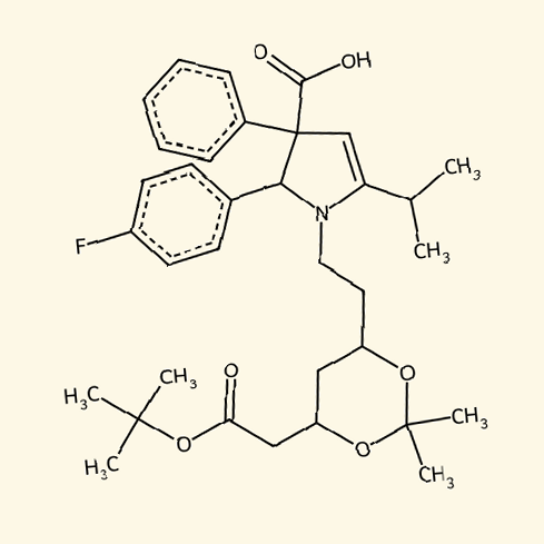 CC(C)C1=CC(C(=O)O)(c2ccccc2)C(c2ccc(F)cc2)N1CCC1CC(CC(=O)OC(C)(C)C)OC(C)(C)O1